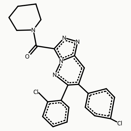 O=C(c1nnc2cc(-c3ccc(Cl)cc3)c(-c3ccccc3Cl)nn12)N1CCCCC1